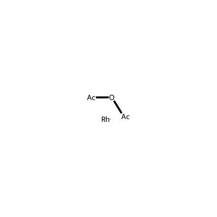 CC(=O)OC(C)=O.[Rh]